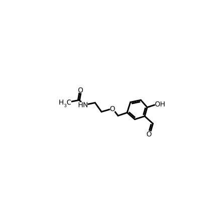 CC(=O)NCCOCc1ccc(O)c(C=O)c1